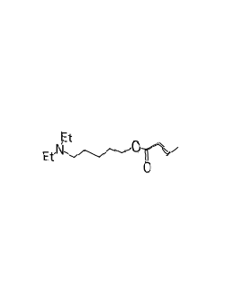 C/C=C/C(=O)OCCCCCN(CC)CC